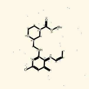 C=C1C=C(Cl)N=C(NC[C@@H]2CN(C(=O)OC(C)(C)C)CCO2)/C1=N/C=C\C